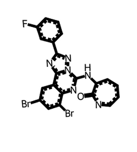 O=c1nccccc1Nc1nc2c(Br)cc(Br)cc2c2nc(-c3cccc(F)c3)nn12